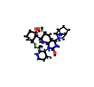 Cc1ccnc(C(C)C)c1-n1c(=O)nc(N2CC3CCC(C2)N3)c2cc(F)c(-c3c(O)cccc3F)nc21